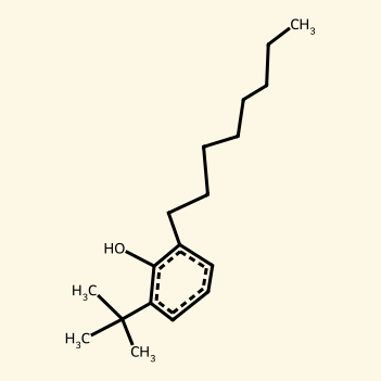 CCCCCCCCc1cccc(C(C)(C)C)c1O